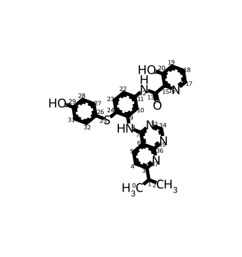 CC(C)c1ccc2c(Nc3cc(NC(=O)c4ncccc4O)ccc3Sc3ccc(O)cc3)ncnc2n1